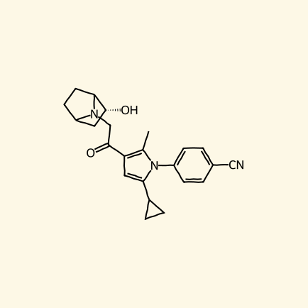 Cc1c(C(=O)CN2C3CCC2[C@H](O)C3)cc(C2CC2)n1-c1ccc(C#N)cc1